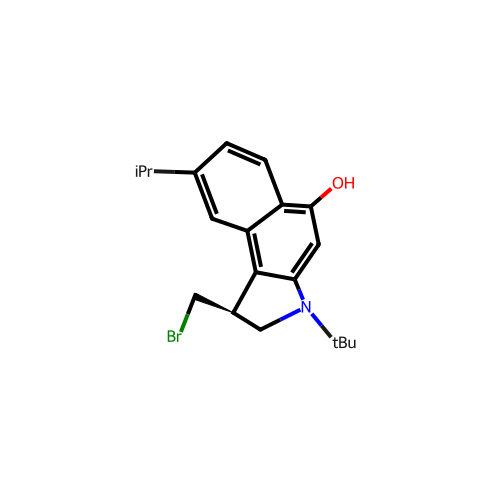 CC(C)c1ccc2c(O)cc3c(c2c1)[C@H](CBr)CN3C(C)(C)C